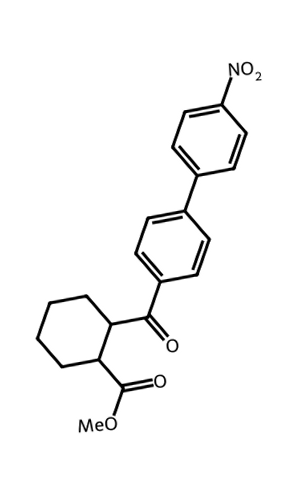 COC(=O)C1CCCCC1C(=O)c1ccc(-c2ccc([N+](=O)[O-])cc2)cc1